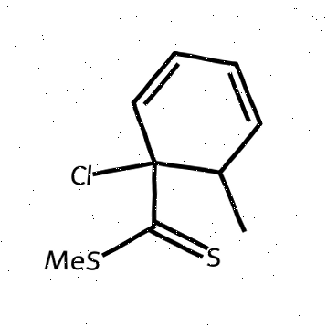 CSC(=S)C1(Cl)C=CC=CC1C